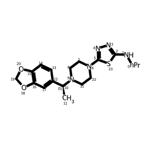 CCCNc1nnc(N2CCN([C@@H](C)c3ccc4c(c3)OCO4)CC2)s1